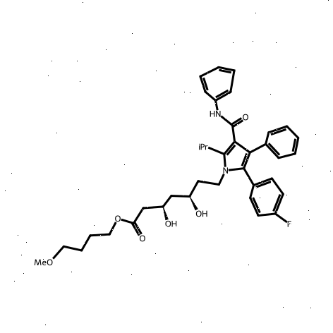 COCCCCOC(=O)C[C@H](O)C[C@H](O)CCn1c(-c2ccc(F)cc2)c(-c2ccccc2)c(C(=O)Nc2ccccc2)c1C(C)C